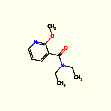 CCN(CC)C(=O)c1cccnc1OC